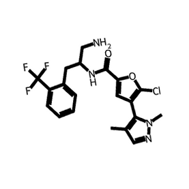 Cc1cnn(C)c1-c1cc(C(=O)NC(CN)Cc2ccccc2C(F)(F)F)oc1Cl